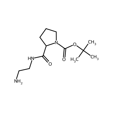 CC(C)(C)OC(=O)N1CCCC1C(=O)NCCN